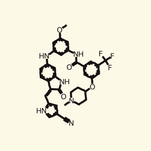 COc1cc(NC(=O)c2cc(OC3CCN(C)CC3)cc(C(F)(F)F)c2)cc(Nc2ccc3c(c2)NC(=O)C3=Cc2cc(C#N)c[nH]2)c1